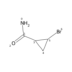 NC(=O)C1CC1Br